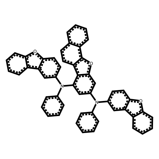 c1ccc(N(c2cc(N(c3ccccc3)c3ccc4oc5ccccc5c4c3)c3c(c2)oc2c4ccccc4ccc23)c2ccc3oc4ccccc4c3c2)cc1